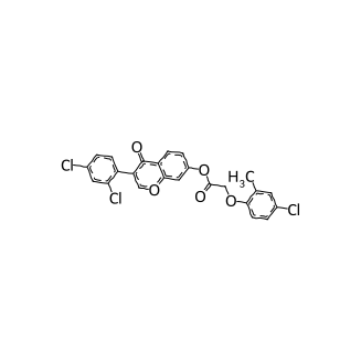 Cc1cc(Cl)ccc1OCC(=O)Oc1ccc2c(=O)c(-c3ccc(Cl)cc3Cl)coc2c1